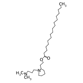 CCCCCCCCCCCCCCCCCC(=O)OCCC1CCCCN1CCCN(C)C